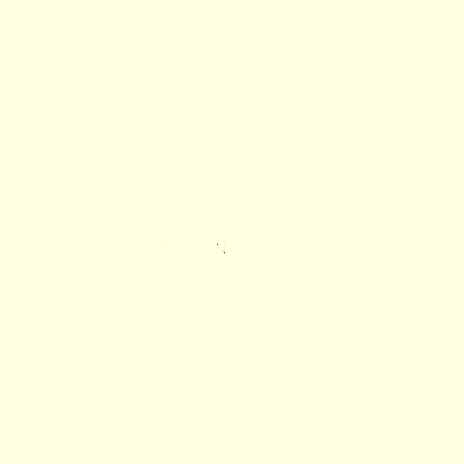 COCN(C[Si](C)(C)C)C(c1ccccc1)c1ccccc1